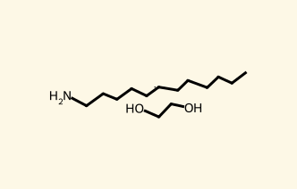 CCCCCC[CH]CCCCCN.OCCO